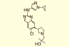 CC(C)(O)CN1CC[C@H](c2cc3nc(Nc4cnn(C5CC5)c4)ncc3cc2Cl)C1